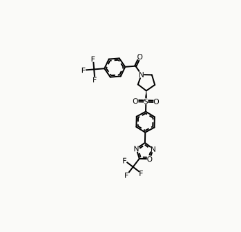 O=C(c1ccc(C(F)(F)F)cc1)N1CC[C@@H](S(=O)(=O)c2ccc(-c3noc(C(F)(F)F)n3)cc2)C1